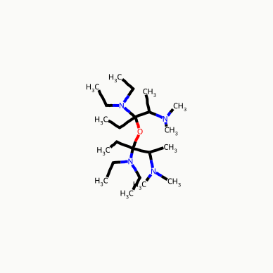 CCN(CC)C(CC)(OC(CC)(C(C)N(C)C)N(CC)CC)C(C)N(C)C